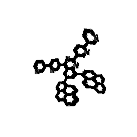 c1cncc(-c2ccc(-c3nc(-c4ccc(-c5cccnc5)nc4)c4cc(-c5ccc6ccc7cccc8ccc5c6c78)cc(-c5ccc6ccc7cccc8ccc5c6c78)c4n3)cn2)c1